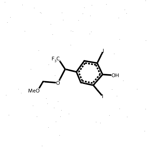 COCOC(c1cc(I)c(O)c(I)c1)C(F)(F)F